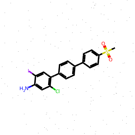 CS(=O)(=O)c1ccc(-c2ccc(-c3cc(I)c(N)cc3Cl)cc2)cc1